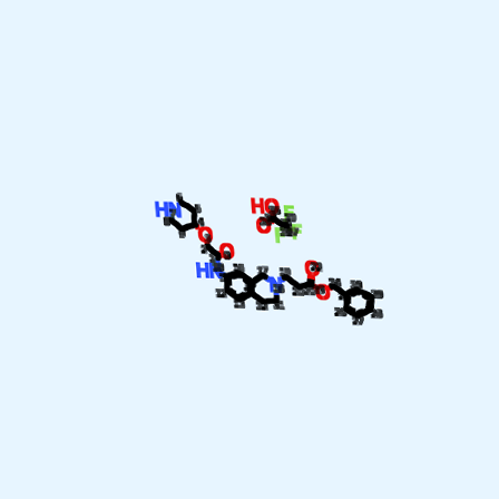 O=C(COC1CCNCC1)Nc1ccc2c(c1)CN(CCC(=O)OCc1ccccc1)CC2.O=C(O)C(F)(F)F